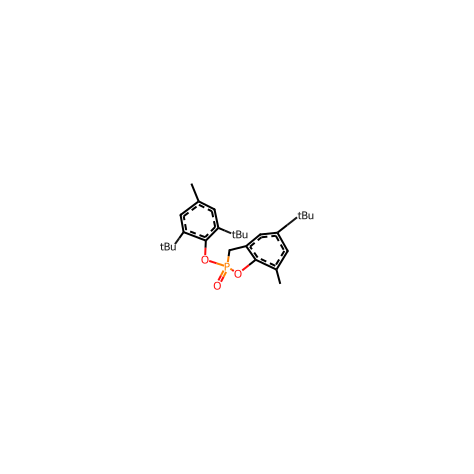 Cc1cc(C(C)(C)C)c(OP2(=O)Cc3cc(C(C)(C)C)cc(C)c3O2)c(C(C)(C)C)c1